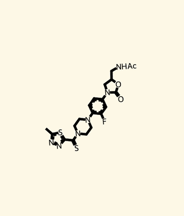 CC(=O)NCC1CN(c2ccc(N3CCN(C(=S)c4nnc(C)s4)CC3)c(F)c2)C(=O)O1